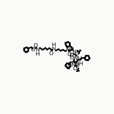 CC(C)C[C@H](NC(=O)[C@@](Cc1ccccc1)(NC(=O)OC(C)(C)C)[C@H](O)CCCc1ccccc1)C(=O)NC(Cc1ccccc1)C(=O)NCCCCCNC(=O)CCCCCNC(=O)OCc1ccccc1